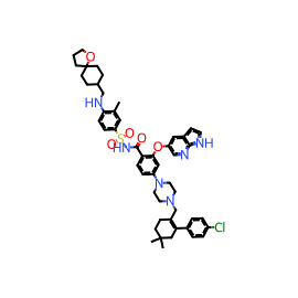 Cc1cc(S(=O)(=O)NC(=O)c2ccc(N3CCN(CC4=C(c5ccc(Cl)cc5)CC(C)(C)CC4)CC3)cc2Oc2cnc3[nH]ccc3c2)ccc1NCC1CCC2(CCCO2)CC1